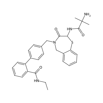 CCNC(=O)c1ccccc1-c1ccc(CN2Cc3ccccc3SC(NC(=O)C(C)(C)N)C2=O)cc1